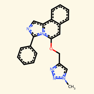 Cn1cc(COc2cc3ccccc3c3cnc(-c4ccccc4)n23)nn1